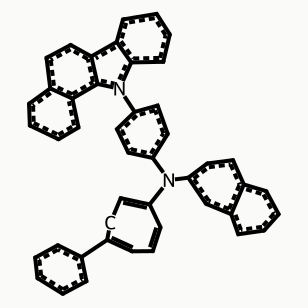 C1=CC(N(c2ccc(-n3c4ccccc4c4ccc5ccccc5c43)cc2)c2ccc3ccccc3c2)=CCC(c2ccccc2)=C1